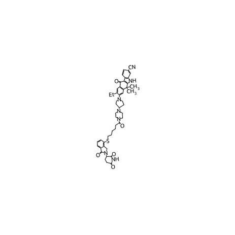 CCc1cc2c(cc1N1CCC(N3CCN(C(=O)CCCCCSc4cccc5c4CN(C4CCC(=O)NC4=O)C5=O)CC3)CC1)C(C)(C)c1[nH]c3cc(C#N)ccc3c1C2=O